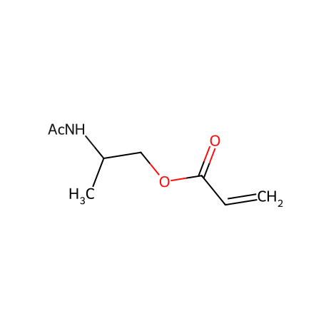 C=CC(=O)OCC(C)NC(C)=O